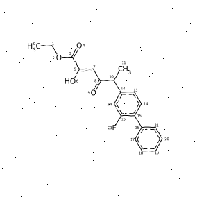 CCOC(=O)C(O)=CC(=O)C(C)c1ccc(-c2ccccc2)c(F)c1